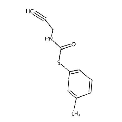 C#CCNC(=O)Sc1cccc(C)c1